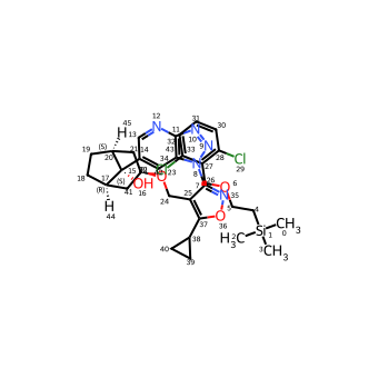 C[Si](C)(C)CCOCn1nnc2ncc([C@@]3(O)[C@@H]4CC[C@H]3C[C@@H](OCc3c(-c5c(Cl)cccc5Cl)noc3C3CC3)C4)cc21